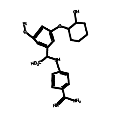 CCOc1cc(OC2CCCCC2O)cc(C(Nc2ccc(C(=N)N)cc2)C(=O)O)c1